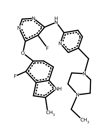 CCN1CCN(Cc2ccc(Nc3ncnc(Oc4ccc5[nH]c(C)cc5c4F)c3F)nc2)CC1